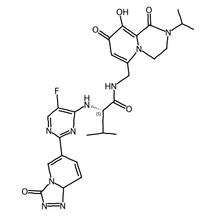 CC(C)[C@H](Nc1nc(C2=CN3C(=O)N=NC3C=C2)ncc1F)C(=O)NCc1cc(=O)c(O)c2n1CCN(C(C)C)C2=O